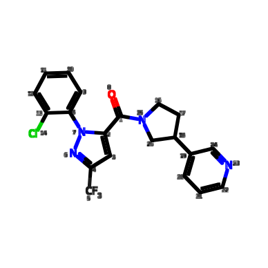 O=C(c1cc(C(F)(F)F)nn1-c1ccccc1Cl)N1CCC(c2cccnc2)C1